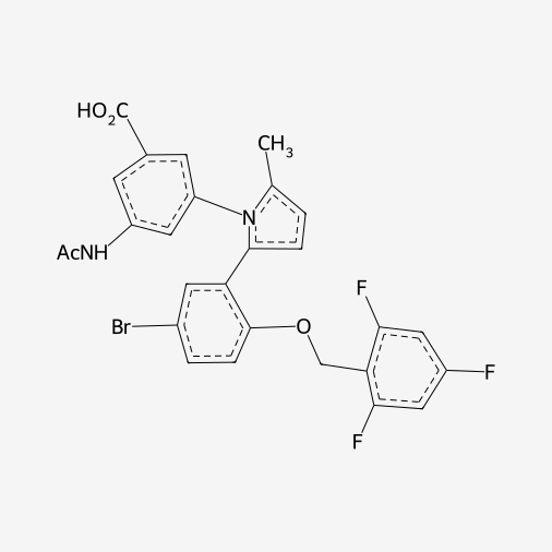 CC(=O)Nc1cc(C(=O)O)cc(-n2c(C)ccc2-c2cc(Br)ccc2OCc2c(F)cc(F)cc2F)c1